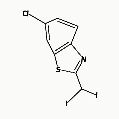 Clc1ccc2nc(C(I)I)sc2c1